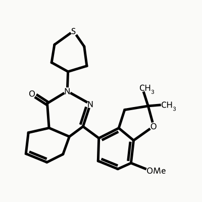 COc1ccc(C2=NN(C3CCSCC3)C(=O)C3CC=CCC23)c2c1OC(C)(C)C2